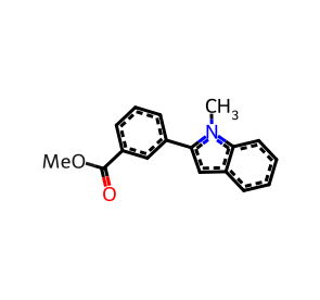 COC(=O)c1cccc(-c2cc3ccccc3n2C)c1